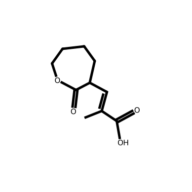 CC(=CC1CCCCOC1=O)C(=O)O